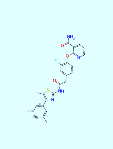 C=C/C=C(\C=C(\C)C(C)CC)c1nc(NC(=O)Cc2ccc(Oc3ncccc3C(N)=O)c(F)c2)sc1C